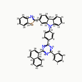 c1ccc(-c2nc(-c3ccc(-n4c5ccccc5c5ccc(-c6nc7ccccc7s6)cc54)cc3)nc(-c3cccc4ccccc34)n2)cc1